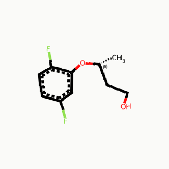 C[C@H](CCO)Oc1cc(F)ccc1F